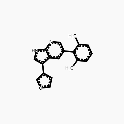 Cc1cccc(C)c1-c1cnc2[nH]cc(-c3ccoc3)c2c1